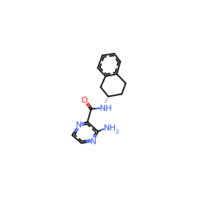 Nc1nccnc1C(=O)N[C@H]1CCc2ccccc2C1